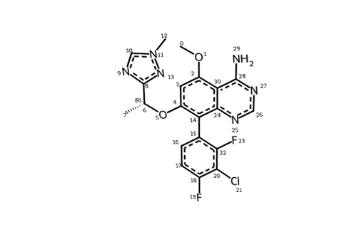 COc1cc(O[C@H](C)c2ncn(C)n2)c(-c2ccc(F)c(Cl)c2F)c2ncnc(N)c12